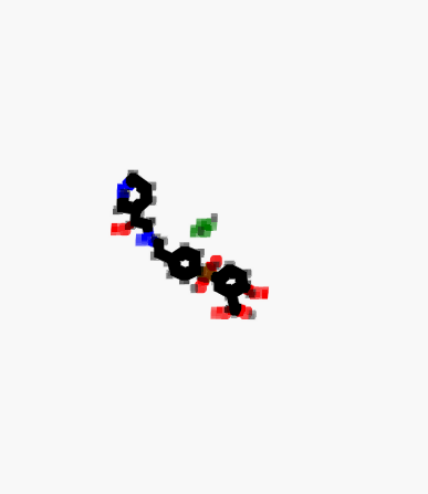 Cl.Cl.O=C(O)c1cc(S(=O)(=O)c2ccc(CCNC[C@H](O)c3cccnc3)cc2)ccc1O